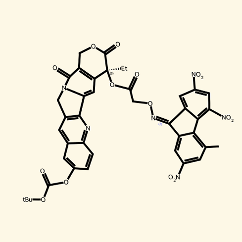 CC[C@@]1(OC(=O)CO/N=C2/c3cc([N+](=O)[O-])cc(C)c3-c3c2cc([N+](=O)[O-])cc3[N+](=O)[O-])C(=O)OCc2c1cc1n(c2=O)Cc2cc3cc(OC(=O)OC(C)(C)C)ccc3nc2-1